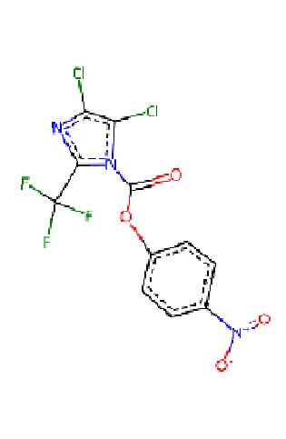 O=C(Oc1ccc([N+](=O)[O-])cc1)n1c(C(F)(F)F)nc(Cl)c1Cl